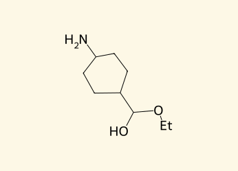 CCOC(O)C1CCC(N)CC1